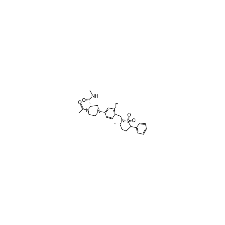 CNC(=O)[C@@H]1CN(c2ccc(CN3[C@@H](C)CCC(c4ccccc4)S3(=O)=O)c(F)c2)CCN1C(C)=O